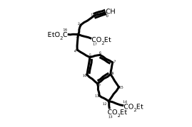 C#CCC(Cc1ccc2c(c1)CC(C(=O)OCC)(C(=O)OCC)C2)(C(=O)OCC)C(=O)OCC